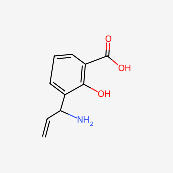 C=CC(N)c1cccc(C(=O)O)c1O